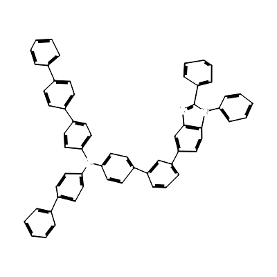 c1ccc(-c2ccc(-c3ccc(N(c4ccc(-c5ccccc5)cc4)c4ccc(-c5cccc(-c6ccc7c(c6)nc(-c6ccccc6)n7-c6ccccc6)c5)cc4)cc3)cc2)cc1